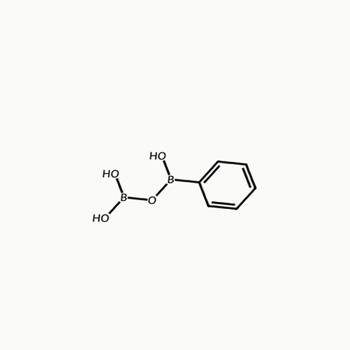 OB(O)OB(O)c1ccccc1